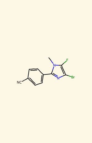 Cn1c(-c2ccc(C#N)cc2)nc(Br)c1F